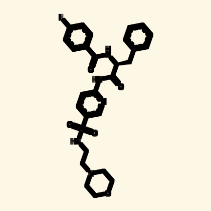 O=C(N[C@@H](Cc1ccccc1)C(=O)Nc1ccc(S(=O)(=O)NCCN2CCOCC2)cn1)c1ccc(F)cc1